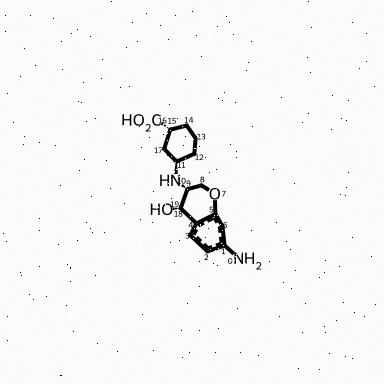 Nc1ccc2c(c1)OC[C@@H](N[C@@H]1CCC[C@@H](C(=O)O)C1)[C@H]2O